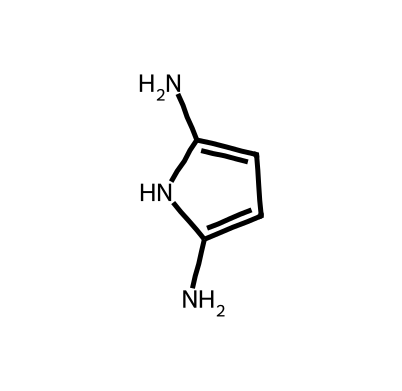 Nc1ccc(N)[nH]1